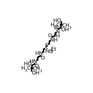 CC(C)(CO)C(O)C(=O)NCCC(=O)NCCSSCCNC(=O)CCNC(=O)C(O)C(C)(C)CO.CCO